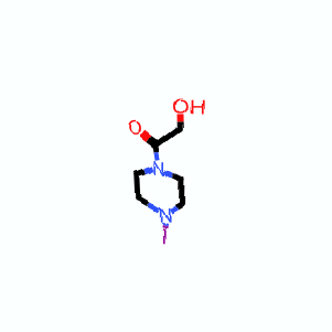 O=C(CO)N1CCN(I)CC1